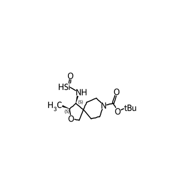 C[C@@H]1OCC2(CCN(C(=O)OC(C)(C)C)CC2)[C@@H]1N[SiH]=O